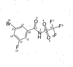 O=C(NS(=O)(=O)C(F)(F)F)c1cc(F)cc(Br)c1